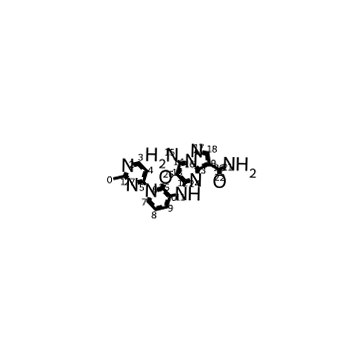 Cc1nccc(-n2cccc(Nc3cc(N)n4ncc(C(N)=O)c4n3)c2=O)n1